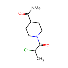 CNC(=O)C1CCN(C(=O)C(C)Cl)CC1